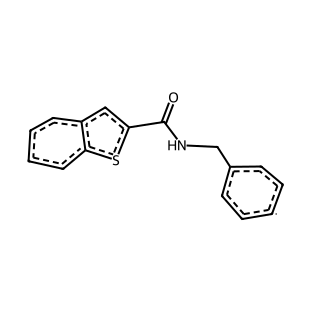 O=C(NCc1cc[c]cc1)c1cc2ccccc2s1